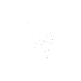 Cl.O=C(O)CCCCCN1CCN2c3ccccc3Cc3ccccc3[C@@H]2C1